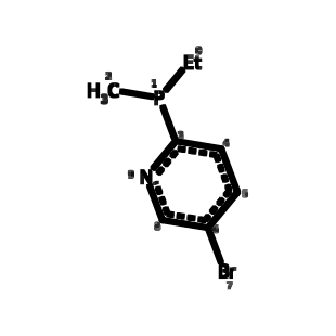 CCP(C)c1ccc(Br)cn1